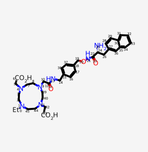 CCN1CCN(CC(=O)O)CCN(CC(=O)NCc2ccc(CONC(=O)[C@H](N)Cc3ccc4ccccc4c3)cc2)CCN(CC(=O)O)CC1